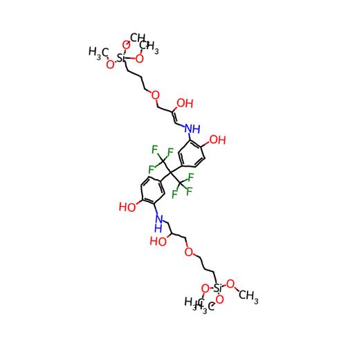 CO[Si](CCCOC/C(O)=C/Nc1cc(C(c2ccc(O)c(NCC(O)COCCC[Si](OC)(OC)OC)c2)(C(F)(F)F)C(F)(F)F)ccc1O)(OC)OC